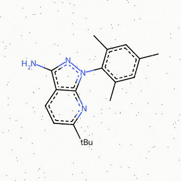 Cc1cc(C)c(-n2nc(N)c3ccc(C(C)(C)C)nc32)c(C)c1